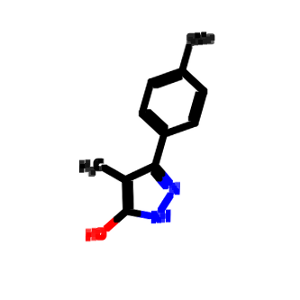 CSc1ccc(-c2n[nH]c(O)c2C)cc1